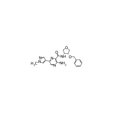 Cn1cc(-c2cnc(N)c(C(=O)N[C@@H]3COC[C@@H]3OCc3ccccc3)n2)cn1